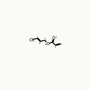 C=CC(=O)OC/C=C/Cl